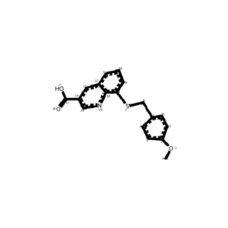 COc1ccc(CSc2cccc3cc(C(=O)O)cnc23)cc1